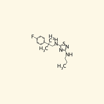 CCCNc1nsc(NCC(C)(C)c2ccc(F)cc2)n1